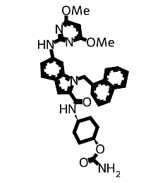 COc1cc(OC)nc(Nc2ccc3cc(C(=O)N[C@H]4CC[C@H](OC(N)=O)CC4)n(Cc4cccc5ccccc45)c3c2)n1